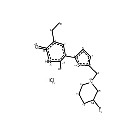 CCc1cc(-c2ccc(CN3CCCC(F)C3)s2)c(C)[nH]c1=O.Cl